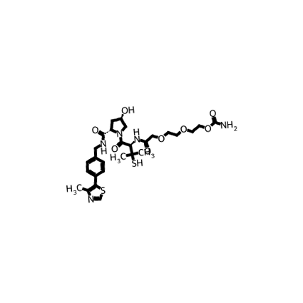 Cc1ncsc1-c1ccc(CNC(=O)[C@@H]2C[C@@H](O)CN2C(=O)[C@@H](NC(=O)COCCOCCOC(N)=O)C(C)(C)S)cc1